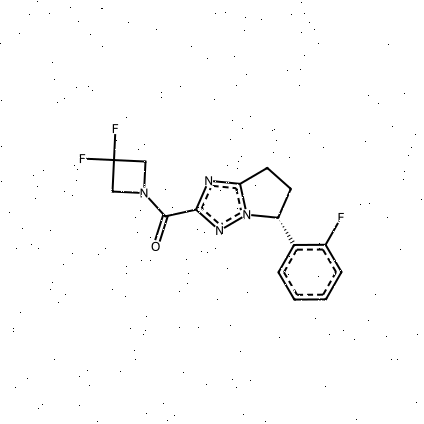 O=C(c1nc2n(n1)[C@@H](c1ccccc1F)CC2)N1CC(F)(F)C1